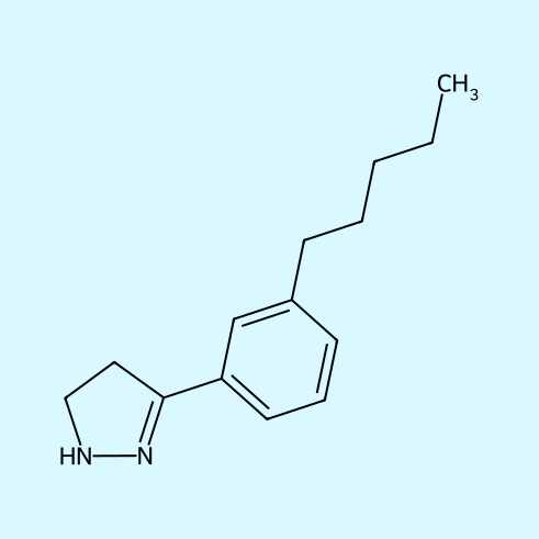 CCCCCc1cccc(C2=NNCC2)c1